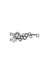 CC[C@H](CC[C@@H](C)[C@H]1CCC2C3CCC4C[C@@H](OC(=O)CCCCl)CC[C@]4(C)C3CC[C@@]21C)C(C)C